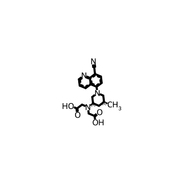 C[C@H]1C[C@@H](N(CC(=O)O)CC(=O)O)CN(c2ccc(C#N)c3ncccc23)C1